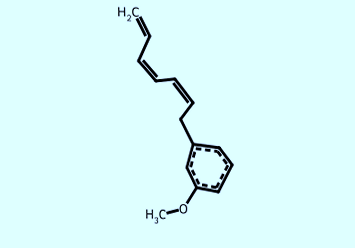 C=C/C=C\C=C/Cc1cccc(OC)c1